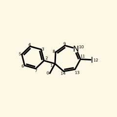 CC1(c2ccccc2)C=CN=C(I)C=C1